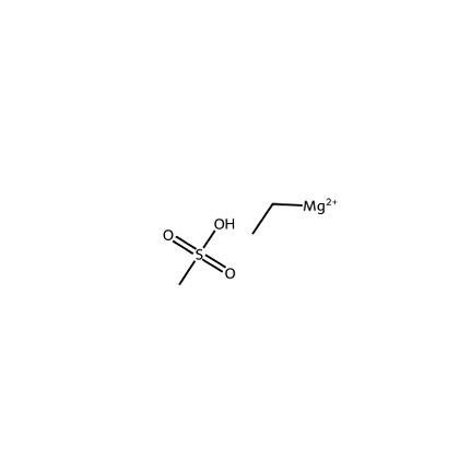 CS(=O)(=O)O.C[CH2][Mg+2]